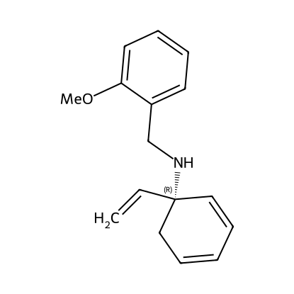 C=C[C@@]1(NCc2ccccc2OC)C=CC=CC1